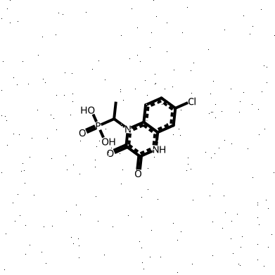 CC(n1c(=O)c(=O)[nH]c2cc(Cl)ccc21)P(=O)(O)O